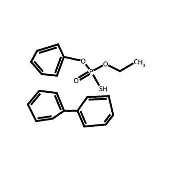 CCOP(=O)(S)Oc1ccccc1.c1ccc(-c2ccccc2)cc1